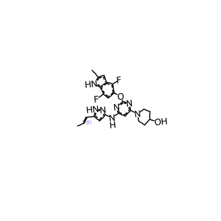 C/C=C/c1cc(Nc2cc(N3CCC(O)CC3)nc(Oc3cc(F)c4[nH]c(C)cc4c3F)n2)n[nH]1